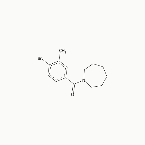 Cc1cc(C(=O)N2CCCCCC2)ccc1Br